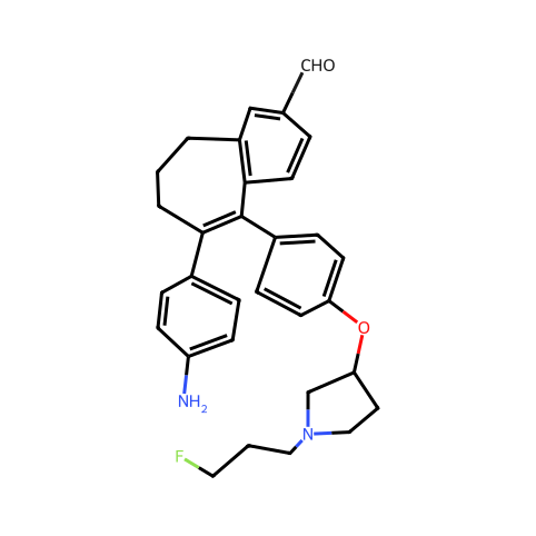 Nc1ccc(C2=C(c3ccc(OC4CCN(CCCF)C4)cc3)c3ccc(C=O)cc3CCC2)cc1